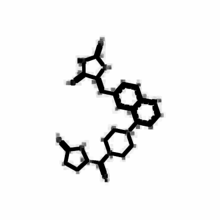 O=C1CC[C@@H](C(=O)N2CCN(c3ccnc4ccc(/C=C5\SC(=O)NC5=O)cc34)CC2)O1